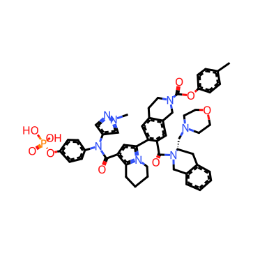 Cc1ccc(OC(=O)N2CCc3cc(-c4cc(C(=O)N(c5ccc(OP(=O)(O)O)cc5)c5cnn(C)c5)c5n4CCCC5)c(C(=O)N4Cc5ccccc5C[C@H]4CN4CCOCC4)cc3C2)cc1